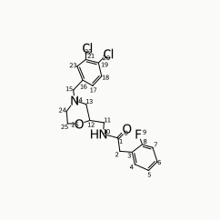 O=C(Cc1ccccc1F)NCC1CN(Cc2ccc(Cl)c(Cl)c2)CCO1